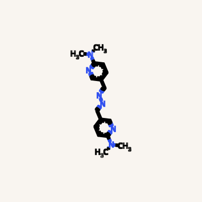 CN(C)c1ccc(/C=N/N=C/c2ccc(N(C)C)nc2)cn1